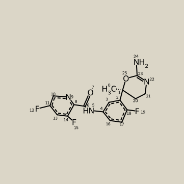 C[C@@]1(c2cc(NC(=O)c3ncc(F)cc3F)ccc2F)CCN=C(N)O1